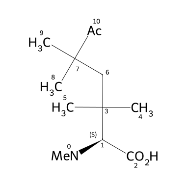 CN[C@H](C(=O)O)C(C)(C)CC(C)(C)C(C)=O